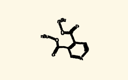 CCCCOC(=O)c1ccncc1C(=O)OCCCC